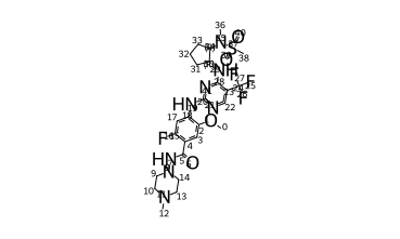 COc1cc(C(=O)NN2CCN(C)CC2)c(F)cc1Nc1ncc(C(F)(F)F)c(N[C@@H]2CCC[C@H]2N(C)S(C)(=O)=O)n1